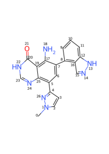 Cn1ccc(-c2cc(-c3cccc4[nH]ncc34)c(N)c3c(=O)[nH]cnc23)n1